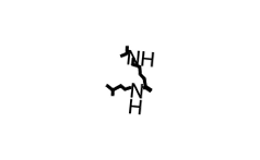 C=C(CCCCNC(C)C)NCCCC(C)C